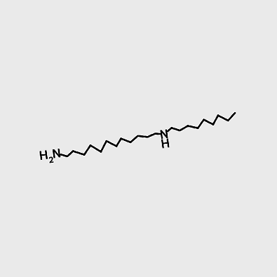 CCCCCCCCCNCCCCCCCCCCCCN